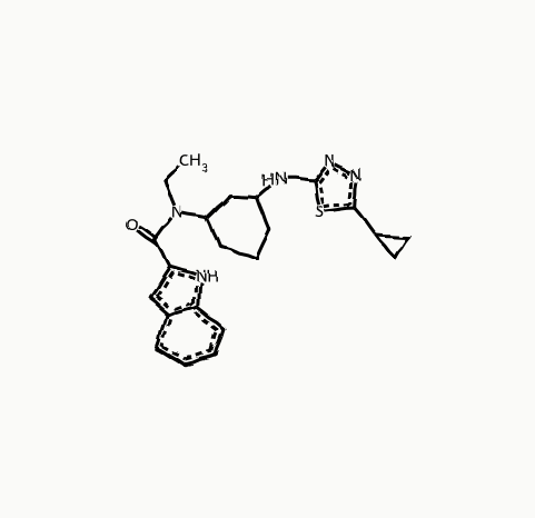 CCN(C(=O)c1cc2ccccc2[nH]1)C1CCCC(Nc2nnc(C3CC3)s2)C1